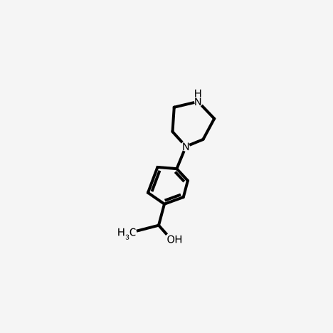 CC(O)c1ccc(N2CCNCC2)cc1